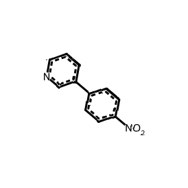 O=[N+]([O-])c1ccc(-c2cc[c]nc2)cc1